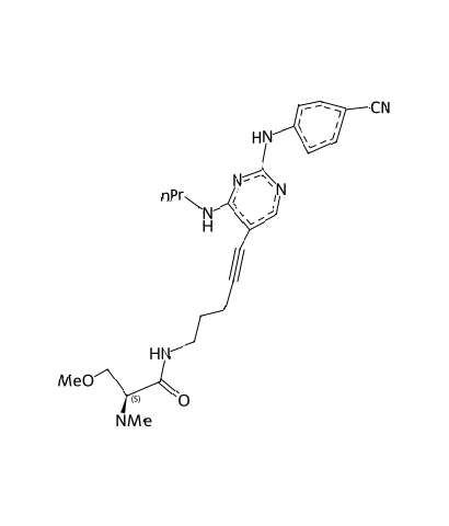 CCCNc1nc(Nc2ccc(C#N)cc2)ncc1C#CCCCNC(=O)[C@H](COC)NC